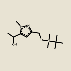 CC(O)c1cc(CO[Si](C)(C)C(C)(C)C)nn1C